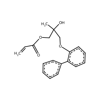 C=CC(=O)OCC(C)(O)COc1ccccc1-c1ccccc1